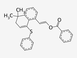 CC1(C)CC=C(Sc2ccccc2)c2c(C=COC(=O)c3ccccc3)cccc21